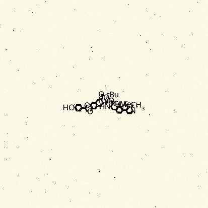 COC(=O)C(Cc1ccc(-c2ccnc(C)c2C)cc1)NC(=O)C1Cc2cc3c(cc2CN1C(=O)OC(C)(C)C)OC(c1ccc(O)cc1)CO3